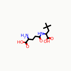 CC(C)(C)CC(NC(=O)CCC(N)C(=O)O)C(=O)O